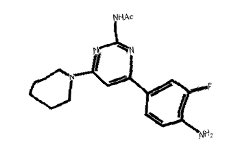 CC(=O)Nc1nc(-c2ccc(N)c(F)c2)cc(N2CCCCC2)n1